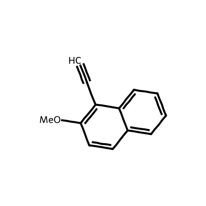 C#Cc1c(OC)ccc2ccccc12